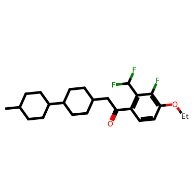 CCOc1ccc(C(=O)CC2CCC(C3CCC(C)CC3)CC2)c(C(F)F)c1F